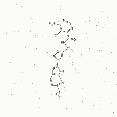 C[C@@H](NC(=O)c1ncnc(N)c1Cl)c1cc(-c2nc3ccc(C4(C)CC4)nc3[nH]2)no1